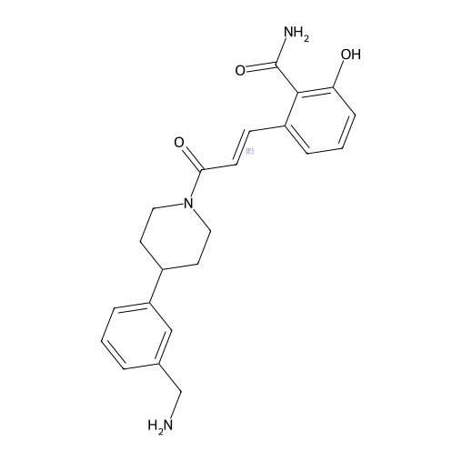 NCc1cccc(C2CCN(C(=O)/C=C/c3cccc(O)c3C(N)=O)CC2)c1